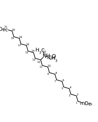 CCCCCCCCCCCCCCCCCCCCCC(CCCCCCCCCCCCCCCCCC)N(C)C.O